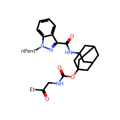 CCCCCn1nc(C(=O)NC23CC4CC(C2)CC(OC(=O)NCC(=O)CC)(C4)C3)c2ccccc21